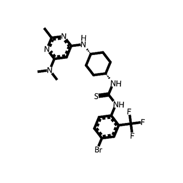 Cc1nc(N[C@H]2CC[C@@H](NC(=S)Nc3ccc(Br)cc3C(F)(F)F)CC2)cc(N(C)C)n1